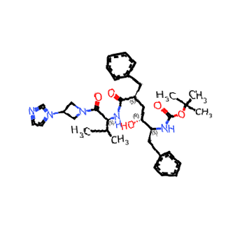 CC(C)[C@H](NC(=O)[C@@H](Cc1ccccc1)C[C@@H](O)[C@H](Cc1ccccc1)NC(=O)OC(C)(C)C)C(=O)N1CC(n2ccnc2)C1